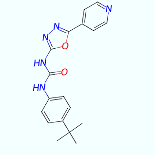 CC(C)(C)c1ccc(NC(=O)Nc2nnc(-c3ccncc3)o2)cc1